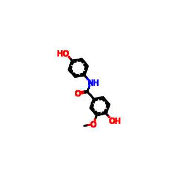 COc1cc(C(=O)Nc2ccc(O)cc2)ccc1O